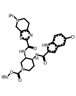 CC(C)N1CCc2nc(C(=O)N[C@@H]3CN(C(=O)OC(C)(C)C)CC[C@@H]3NC(=O)c3cc4cc(Cl)ccc4[nH]3)sc2C1